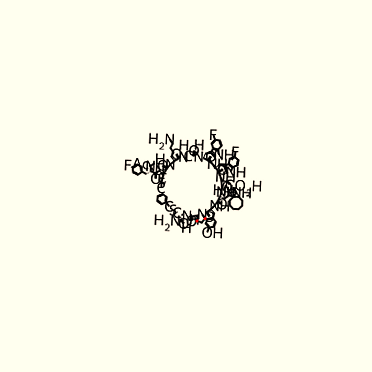 CC(=O)N(C)[C@@H](Cc1ccc(F)cc1)C(=O)N[C@H]1CSCc2cccc(c2)CSC[C@@H](C(N)=O)NC(=O)[C@@H]2CCCN2C(=O)[C@H](Cc2ccc(O)cc2)NC(=O)[C@H](CC2NCNC23CCCCCCC3)NC(=O)[C@H](CC(=O)O)NC(=O)[C@H](Cc2c[nH]c3ccc(F)cc23)NC(=O)[C@H](Cc2c[nH]c3ccc(F)cc23)NC(=O)CNC(=O)[C@H](CCCCN)NC1=O